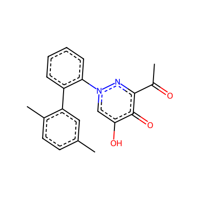 CC(=O)c1nn(-c2ccccc2-c2cc(C)ccc2C)cc(O)c1=O